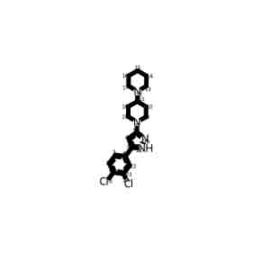 Clc1ccc(-c2cc(N3CCC(N4CCCCC4)CC3)n[nH]2)cc1Cl